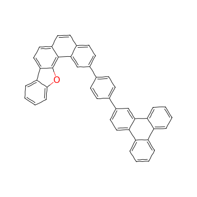 c1ccc2c(c1)oc1c2ccc2ccc3ccc(-c4ccc(-c5ccc6c7ccccc7c7ccccc7c6c5)cc4)cc3c21